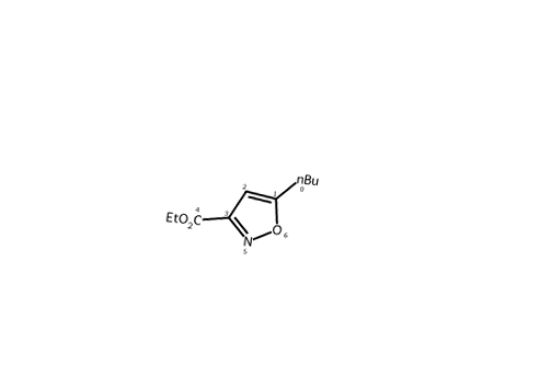 CCCCc1cc(C(=O)OCC)no1